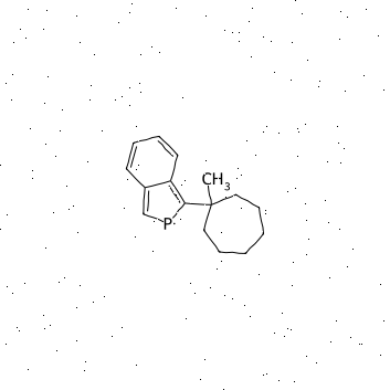 CC1(C2=c3ccccc3=C[P]2)CCCCCC1